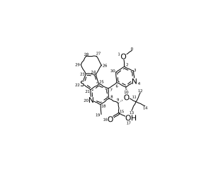 COc1cncc(-c2c([C@H](OC(C)(C)C)C(=O)O)c(C)nc3sc4c(c23)CCCC4)c1